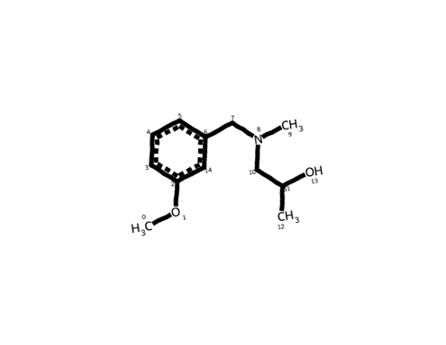 COc1cccc(CN(C)CC(C)O)c1